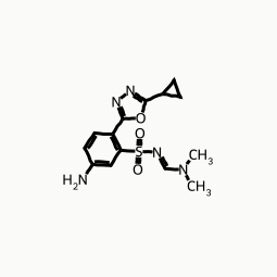 CN(C)C=NS(=O)(=O)c1cc(N)ccc1-c1nnc(C2CC2)o1